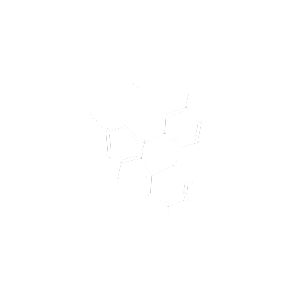 Cc1cccc(-c2nc(N)nc(Cl)c2-c2ccncc2)c1C#N